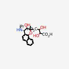 CC(C)N[C@H]1c2ccc3ccccc3c2OC(C)(C)[C@@H]1O.O=C(O)C(O)C(O)C(=O)O